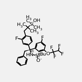 CC(C)(C)[S@@+]([O-])N[C@@](Cc1ccccc1)(c1cc(F)cc(OC(F)(F)C(F)F)c1)c1ccc(CC(C)(C)[Si](C)(C)O)c(F)c1